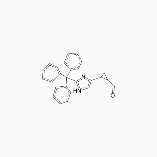 O=CC1CC1c1c[nH]c(C(c2ccccc2)(c2ccccc2)c2ccccc2)n1